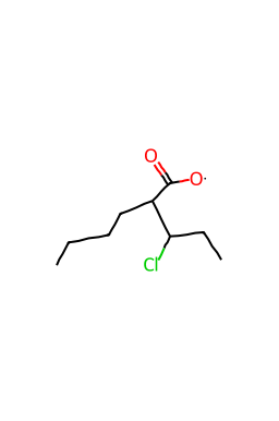 CCCCC(C([O])=O)C(Cl)CC